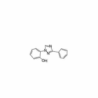 Oc1ccccc1-n1cnc(-c2ccccc2)n1